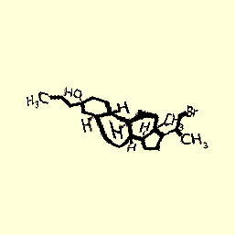 CCC[C@@]1(O)CC[C@H]2[C@@H](CC[C@@H]3[C@@H]2CC[C@]2(C)[C@@H](C(C)CBr)CC[C@@H]32)C1